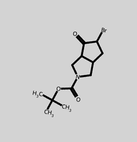 CC(C)(C)OC(=O)N1CC2CC(Br)C(=O)C2C1